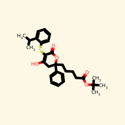 CC(C)c1ccccc1SC1=C(O)CC(CCCCC(=O)OC(C)(C)C)(c2ccccc2)OC1=O